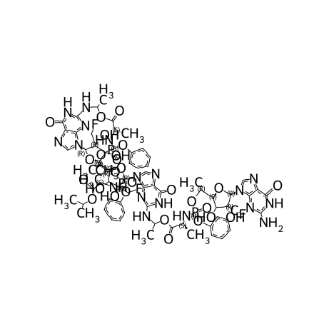 CC(C)OC(=O)[C@H](C)NP(=O)(Oc1ccccc1)O[C@H](C)[C@H]1O[C@@H](n2cnc3c(=O)[nH]c(NC(C)OC(=O)[C@H](C)N[P@@](=O)(Oc4ccccc4)O[C@H](C)[C@H]4O[C@@H](n5cnc6c(=O)[nH]c(NC(C)OC(=O)[C@H](C)N[P@](=O)(Oc7ccccc7)O[C@H](C)[C@H]7O[C@@H](n8cnc9c(=O)[nH]c(N)nc98)[C@@](O)(CF)C7O)nc65)[C@@](O)(CF)C4O)nc32)[C@@](O)(CF)C1O